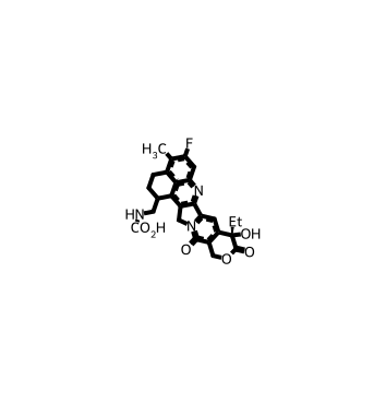 CC[C@@]1(O)C(=O)OCc2c1cc1n(c2=O)Cc2c-1nc1cc(F)c(C)c3c1c2C(CNC(=O)O)CC3